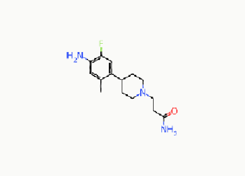 Cc1cc(N)c(F)cc1C1CCN(CCC(N)=O)CC1